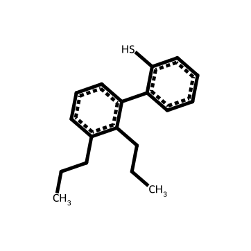 CCCc1cccc(-c2ccccc2S)c1CCC